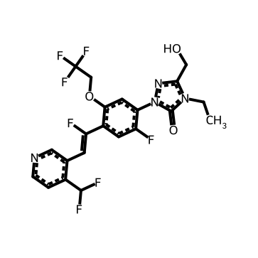 CCn1c(CO)nn(-c2cc(OCC(F)(F)F)c(/C(F)=C/c3cnccc3C(F)F)cc2F)c1=O